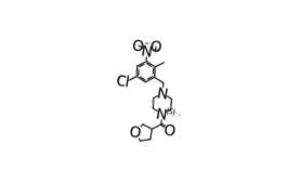 Cc1c(CN2CCN(C(=O)C3CCOC3)[C@@H](C)C2)cc(Cl)cc1[N+](=O)[O-]